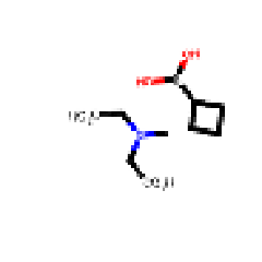 CN(CC(=O)O)CC(=O)O.OB(O)C1CCC1